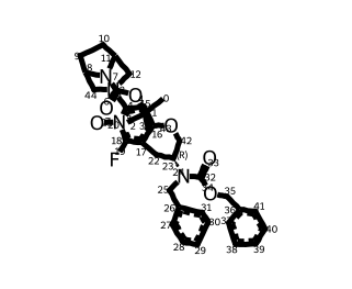 CC(C)(C)OC(=O)N1C2CCC1CN(c1cc3c(c(F)[n+]1[O-])C[C@@H](N(Cc1ccccc1)C(=O)OCc1ccccc1)CO3)C2